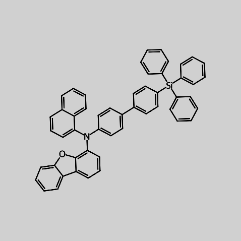 c1ccc([Si](c2ccccc2)(c2ccccc2)c2ccc(-c3ccc(N(c4cccc5ccccc45)c4cccc5c4oc4ccccc45)cc3)cc2)cc1